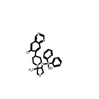 CC1(N2CCC(c3cc4n[c]ncc4cc3Cl)CC2)COCC1O[Si](c1ccccc1)(c1ccccc1)C(C)(C)C